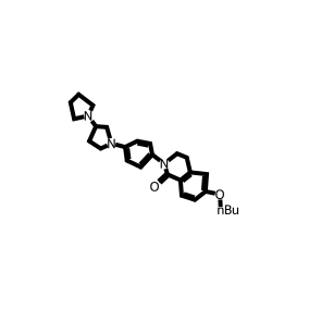 CCCCOc1ccc2c(c1)CCN(c1ccc(N3CCC(N4CCCC4)C3)cc1)C2=O